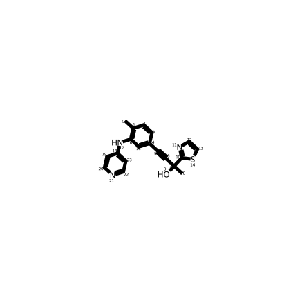 Cc1ccc(C#CC(C)(O)c2nccs2)cc1Nc1ccncc1